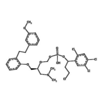 COc1cccc(CCc2ccccc2OC[C@H](CN(C)C)OCOP(=O)(O)OC(CCCl)c2cc(Cl)c(Cl)cc2Cl)c1